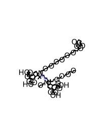 COCCOCCOCCOCCC1(C)C(/C=C/C=C2/N(CCOCCOCCOCCOCCOCCOCCC(=O)ON3C(=O)CCC3=O)c3ccc4c(S(=O)(=O)O)cc(S(=O)(=O)O)cc4c3C2(C)C)=[N+](CCOC)c2ccc3c(S(=O)(=O)O)cc(S(=O)(=O)O)cc3c21